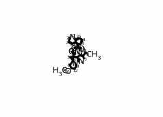 CCc1cnc(N2CCC(OC)CC2)c(C2(C(=O)NS(=O)(=O)c3cccc4ncccc34)CC2)c1